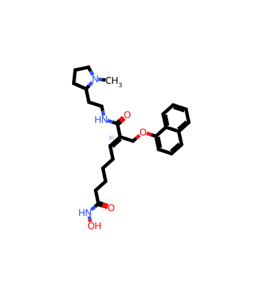 CN1CCCC1CCNC(=O)/C(=C/CCCCC(=O)NO)COc1cccc2ccccc12